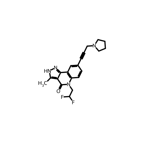 Cc1[nH]nc2c1c(=O)n(CC(F)F)c1ccc(C#CCN3CCCC3)cc21